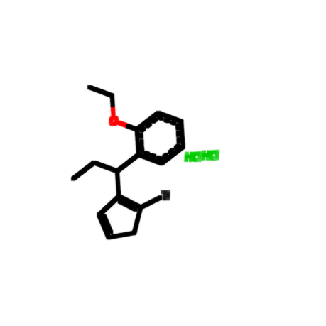 CCOc1ccccc1C(CC)C1=[C]([Ti])CC=C1.Cl.Cl